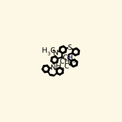 Cc1ccccc1/C=C\c1ccccc1Sc1ccc2c(c1)C(C)(C)c1cc(N3c4ccccc4C=Cc4ccccc43)ccc1N2C